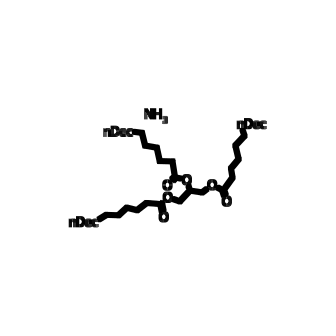 CCCCCCCCCCCCCCCC(=O)OCC(COC(=O)CCCCCCCCCCCCCCC)OC(=O)CCCCCCCCCCCCCCC.N